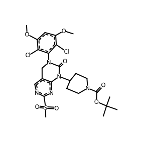 COc1cc(OC)c(Cl)c(N2Cc3cnc(S(C)(=O)=O)nc3N(C3CCN(C(=O)OC(C)(C)C)CC3)C2=O)c1Cl